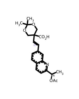 CC(=O)O[C@H](C)c1ccc2ccc(/C=C/C3(C(=O)O)COC(C)(C)OC3)cc2n1